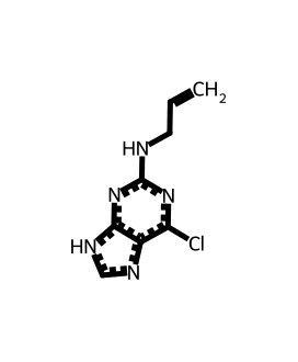 C=CCNc1nc(Cl)c2nc[nH]c2n1